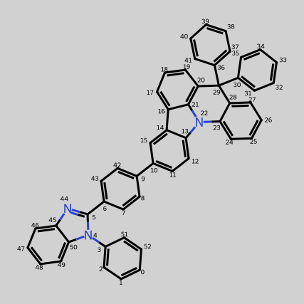 c1ccc(-n2c(-c3ccc(-c4ccc5c(c4)c4cccc6c4n5-c4ccccc4C6(c4ccccc4)c4ccccc4)cc3)nc3ccccc32)cc1